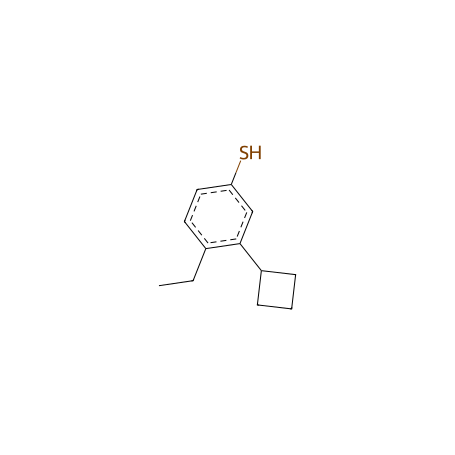 CCc1ccc(S)cc1C1CCC1